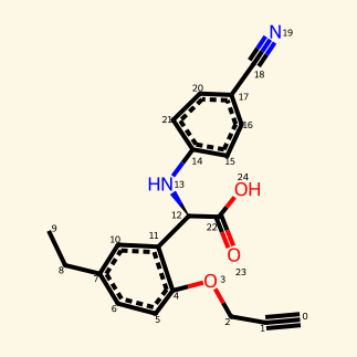 C#CCOc1ccc(CC)cc1[C@@H](Nc1ccc(C#N)cc1)C(=O)O